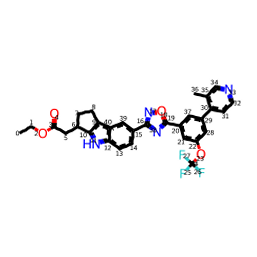 CCOC(=O)CC1CCc2c1[nH]c1ccc(-c3noc(-c4cc(OC(F)(F)F)cc(-c5ccncc5C)c4)n3)cc21